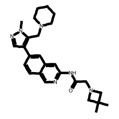 Cn1ncc(-c2ccc3cnc(NC(=O)CN4CC(C)(C)C4)cc3c2)c1CN1CCCCC1